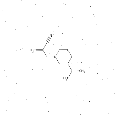 C=C(C#N)CN1CCCC(C(C)C)C1